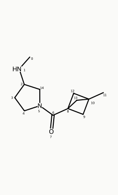 CNC1CCN(C(=O)C23CC(C)(C2)C3)C1